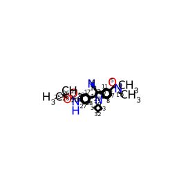 CCN(C)C(=O)c1ccc2c(c1)c(C#N)c(-c1ccc(NC(=O)OC(C)C)cc1)n2C1CCC1